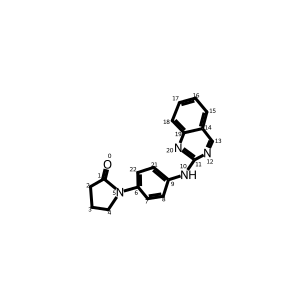 O=C1CCCN1c1ccc(Nc2ncc3ccccc3n2)cc1